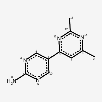 Cc1cc(-c2cnc(N)nc2)nc(C)n1